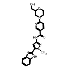 Cn1nc(NC(=O)c2ccc(N3CCOC(CO)C3)nc2)cc1-c1nc2ccccc2[nH]1